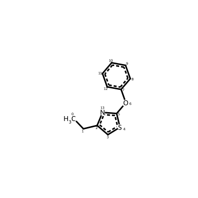 CCc1csc(Oc2ccccc2)n1